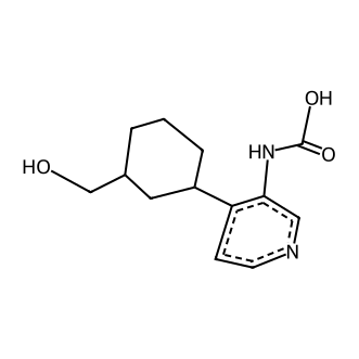 O=C(O)Nc1cnccc1C1CCCC(CO)C1